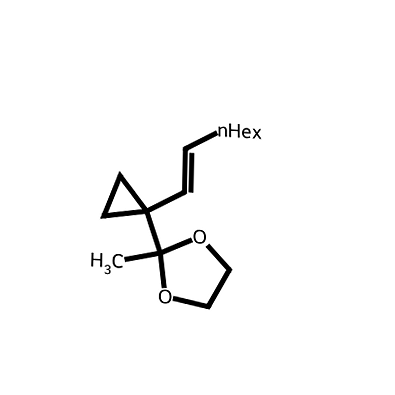 CCCCCCC=CC1(C2(C)OCCO2)CC1